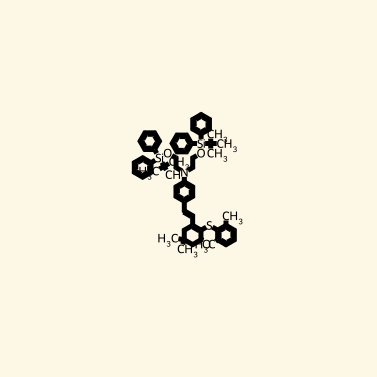 Cc1cccc(C)c1SC1=C(/C=C/c2ccc(N(CCO[Si](c3ccccc3)(c3ccccc3)C(C)(C)C)CCO[Si](c3ccccc3)(c3ccccc3)C(C)(C)C)cc2)CC(C)(C)CC1=O